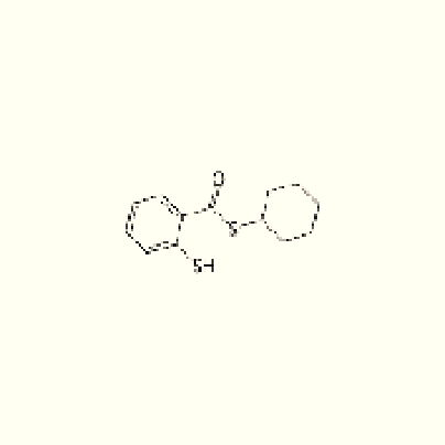 O=C(SC1CCCCC1)c1ccccc1S